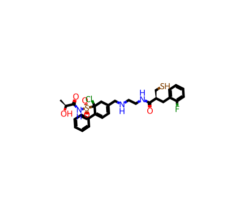 C[C@H](O)C(=O)NS(=O)(=O)C1(Cl)CC(CNCCNC(=O)[C@@H](CS)Cc2ccccc2F)=CC=C1c1ccccc1